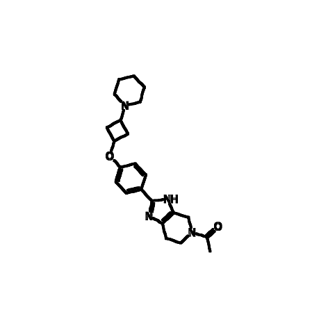 CC(=O)N1CCc2nc(-c3ccc(OC4CC(N5CCCCC5)C4)cc3)[nH]c2C1